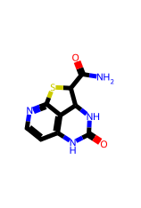 NC(=O)C1Sc2nccc3c2C1NC(=O)N3